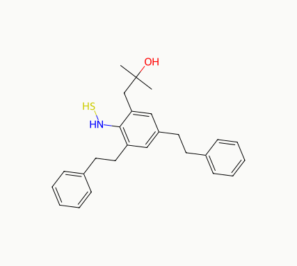 CC(C)(O)Cc1cc(CCc2ccccc2)cc(CCc2ccccc2)c1NS